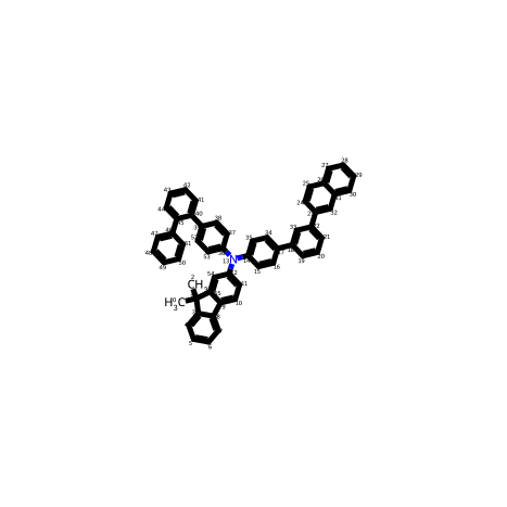 CC1(C)c2ccccc2-c2ccc(N(c3ccc(-c4cccc(-c5ccc6ccccc6c5)c4)cc3)c3ccc(-c4ccccc4-c4ccccc4)cc3)cc21